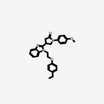 CCc1ccc(OCCn2c(C3CC(=O)N(c4ccc(OC)cc4)C3)nc3ccccc32)cc1